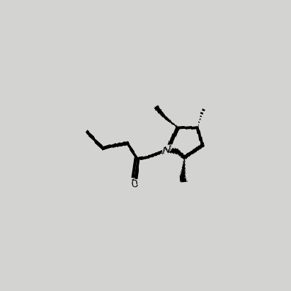 CCCC(=O)N1[C@H](C)C[C@@H](C)[C@@H]1C